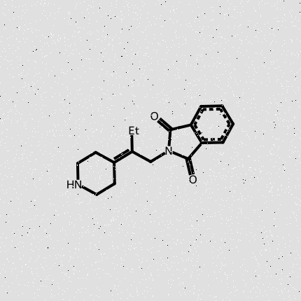 CCC(CN1C(=O)c2ccccc2C1=O)=C1CCNCC1